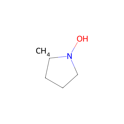 C.ON1CCCC1